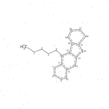 CCCCCc1c2ccccc2cc2sc3ccccc3c12